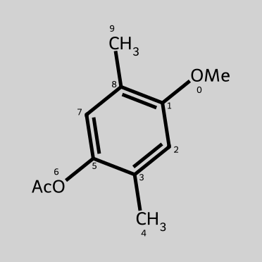 COc1cc(C)c(OC(C)=O)cc1C